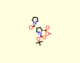 COC(=O)[C@@H]1C[C@@H](C(=O)N2CCCC2)CN1C(=O)OC(C)(C)C